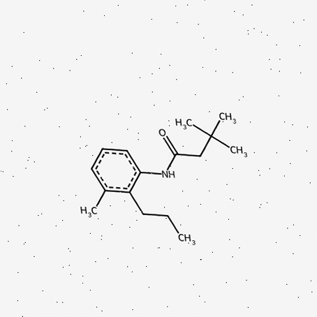 CCCc1c(C)cccc1NC(=O)CC(C)(C)C